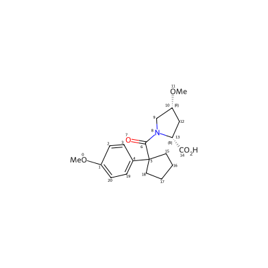 COc1ccc(C2(C(=O)N3C[C@H](OC)C[C@@H]3C(=O)O)CCCC2)cc1